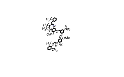 COc1cc2c(cc1OCc1cc(COc3cc(NC[C@@H](C)Cc4ccccc4C)c(C(C)=O)cc3OC)cc(NC(C)C)c1)/N=C\[C@H](Cc1ccccc1C)C(C)C(C)[S+]2[O-]